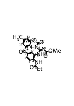 CCC(=O)Nc1ccc([S+]([O-])c2cccc(C)c2)cc1NC(=NC(=O)OC)NC(=O)OC